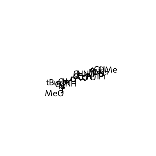 COCC1CC(c2ncc(-c3ccc4c(c3)COc3cc5c(ccc6nc([C@@H]7CC[C@H](C)N7C(=O)C(NC(=O)OC)C(C)C)[nH]c65)cc3-4)[nH]2)N(C(=O)OC(C)(C)C)C1